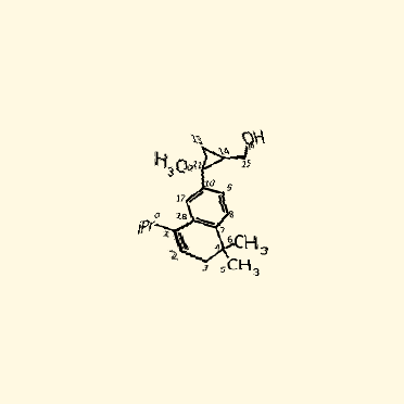 CC(C)C1=CCC(C)(C)c2ccc([C@@]3(C)C[C@H]3CO)cc21